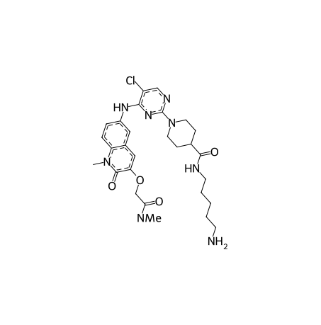 CNC(=O)COc1cc2cc(Nc3nc(N4CCC(C(=O)NCCCCCN)CC4)ncc3Cl)ccc2n(C)c1=O